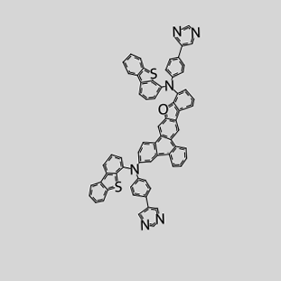 c1ccc2c(c1)sc1c(N(c3ccc(-c4cncnc4)cc3)c3ccc4c(c3)c3ccccc3c3cc5c(cc43)oc3c(N(c4ccc(-c6cncnc6)cc4)c4cccc6c4sc4ccccc46)cccc35)cccc12